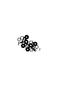 O=[N+]([O-])C1(c2ccccc2Cl)C=CC(OC2C=CC(c3ccccc3Cl)([N+](=O)[O-])C(SCCF)=C2c2ccccc2Cl)C(c2ccccc2Cl)=C1SCCF